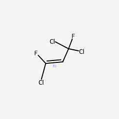 F/C(Cl)=C\C(F)(Cl)Cl